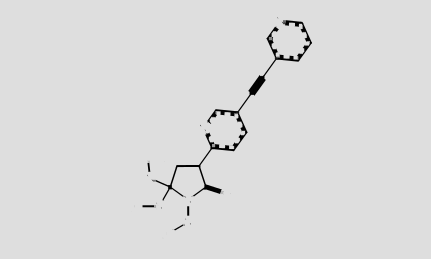 CNN1C(=O)C(c2ccc(C#Cc3cccnc3)cn2)CC1(NC)NC